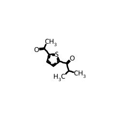 CC(=O)c1ccc(C(=O)C(C)C)s1